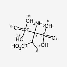 CC(C(=O)O)C(N)(P(=O)(O)O)P(=O)(O)O